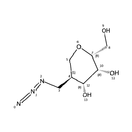 [N-]=[N+]=NC[C@H]1CO[C@H](CO)[C@H](O)[C@@H]1O